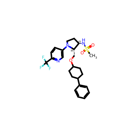 CS(=O)(=O)N[C@H]1CCN(c2ccc(C(F)(F)F)nc2)[C@H]1COC1CCC(c2ccccc2)CC1